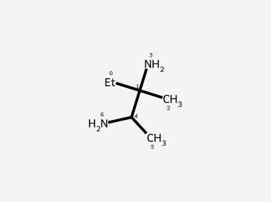 CCC(C)(N)C(C)N